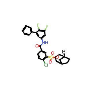 C[C@@]1(O)C2CC[C@H]1C[C@H](S(=O)(=O)c1cc(C(=O)Nc3cc(F)c(F)c(-c4ccccc4)c3)ccc1Cl)C2